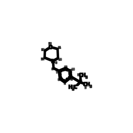 CC(C)(C)c1ccc(CN2CCOCC2)cn1